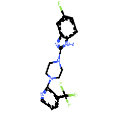 Fc1ccc2[nH]c(N3CCN(c4ncccc4C(F)(F)F)CC3)nc2c1